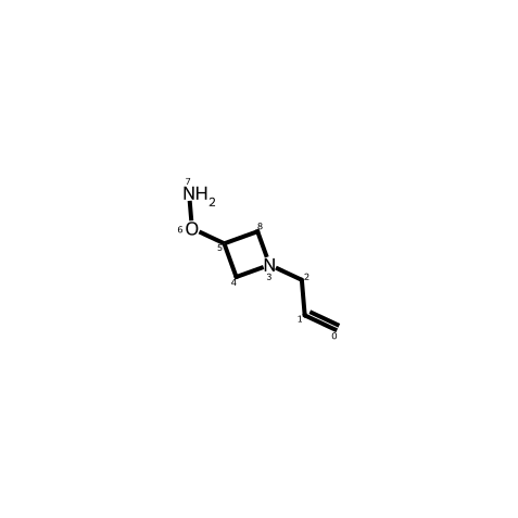 C=CCN1CC(ON)C1